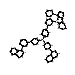 c1ccc(-c2cccc3c4ccccc4n(-c4cccc(-c5ccc(N(c6ccc(-c7cccc(-c8cccc9ccccc89)c7)cc6)c6ccc(-c7cccc8ccccc78)cc6)cc5)c4)c23)cc1